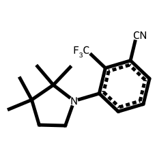 CC1(C)CCN(c2cccc(C#N)c2C(F)(F)F)C1(C)C